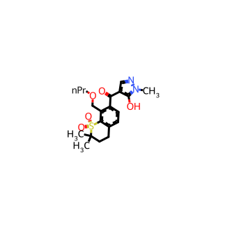 CCCOCc1c(C(=O)c2cnn(C)c2O)ccc2c1S(=O)(=O)C(C)(C)CC2